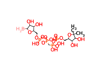 B[C@@H]1O[C@H](COP(=O)(O)OP(=O)(O)CP(=O)(O)OP(=O)(O)OC[C@H]2OC(C)(C)[C@@H](O)C2O)C(O)C1O